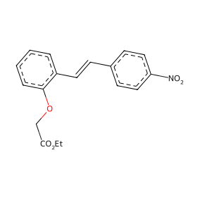 CCOC(=O)COc1ccccc1C=Cc1ccc([N+](=O)[O-])cc1